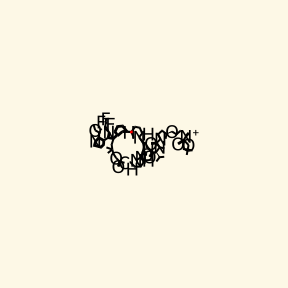 C=[N+](CCO[C@@H]1CCN(C(=O)N(C)[C@H](C(=O)N[C@H]2CN3CCC[C@H](C3)c3ccc4c(c3)c(c(-c3cccnc3[C@H](C)OC)n4CC(F)(F)F)CC(C)(C)COC(=O)C[C@@H]3CCCN(N3)C2=O)C(C)C)C1)C(=O)OC(C)(C)C